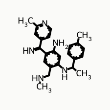 CNCc1cc(C(=N)c2ccnc(C)c2)c(N)cc1NC(C)c1ccc(C)cc1